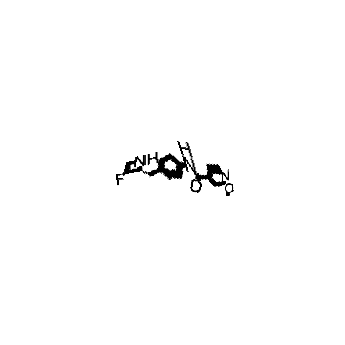 COc1cc(C(=O)Nc2ccc(C[C@H]3NC[C@H]3F)cc2)ccn1